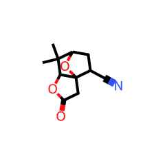 CC1(C)C2CC(C#N)C3(CC(=O)OC13)O2